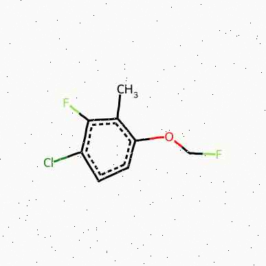 Cc1c(OCF)ccc(Cl)c1F